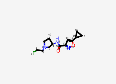 C[C@H]1CN(CCF)C[C@@H]1NC(=O)c1cc(C2CC2)on1